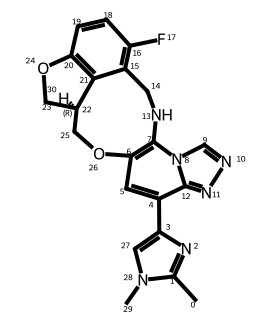 Cc1nc(-c2cc3c(n4cnnc24)NCc2c(F)ccc4c2[C@H](CO4)CO3)cn1C